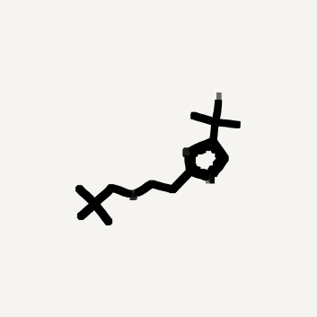 CC(C)(C)CSCCc1ncc(C(C)(C)I)o1